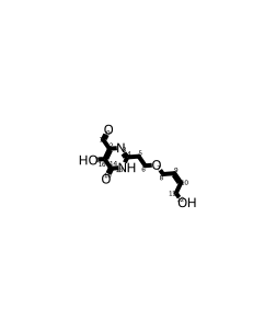 O=Cc1nc(CCOC/C=C\CO)[nH]c(=O)c1O